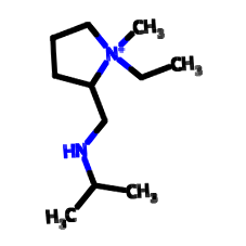 CC[N+]1(C)CCCC1CNC(C)C